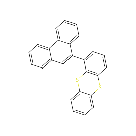 c1ccc2c(c1)Sc1cccc(-c3cc4ccccc4c4ccccc34)c1S2